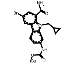 CC(C)(C)OC(=O)Nc1ccc2c3cc(Br)cc(C(N)=O)c3n(CC3CC3)c2c1